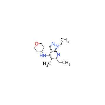 CCc1nc2c(cnn2CC)c(NC2CCOCC2)c1C